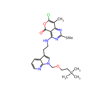 CSc1nc(NCCc2cn(COCC[Si](C)(C)C)c3ncccc23)c2c(=O)oc(Cl)c(C)c2n1